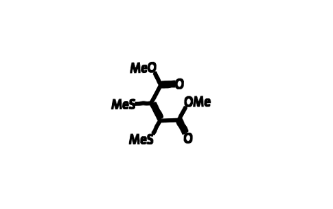 COC(=O)C(SC)=C(SC)C(=O)OC